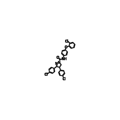 O=C(Nc1ccc(Oc2ccccc2Cl)cc1)N1CC(c2ccc(Cl)cc2)C(c2ccc(Cl)cc2)=N1